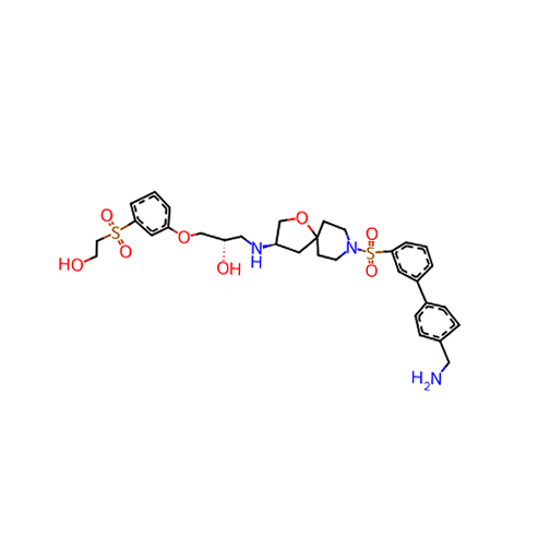 NCc1ccc(-c2cccc(S(=O)(=O)N3CCC4(CC3)C[C@@H](NC[C@H](O)COc3cccc(S(=O)(=O)CCO)c3)CO4)c2)cc1